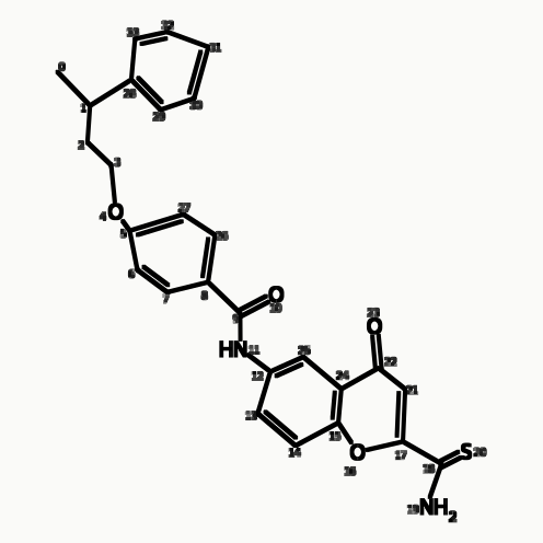 CC(CCOc1ccc(C(=O)Nc2ccc3oc(C(N)=S)cc(=O)c3c2)cc1)c1ccccc1